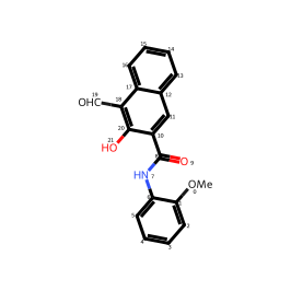 COc1ccccc1NC(=O)c1cc2ccccc2c(C=O)c1O